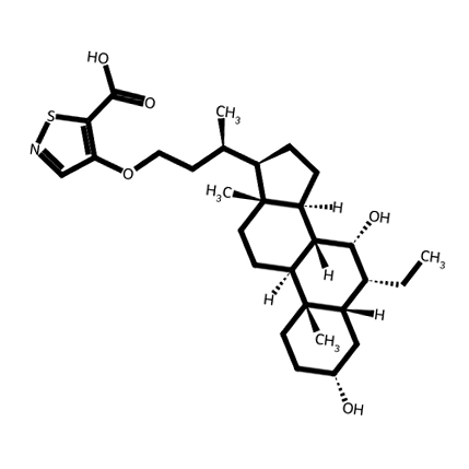 CC[C@H]1[C@@H](O)[C@@H]2[C@H](CC[C@]3(C)[C@@H]([C@H](C)CCOc4cnsc4C(=O)O)CC[C@@H]23)[C@@]2(C)CC[C@@H](O)C[C@@H]12